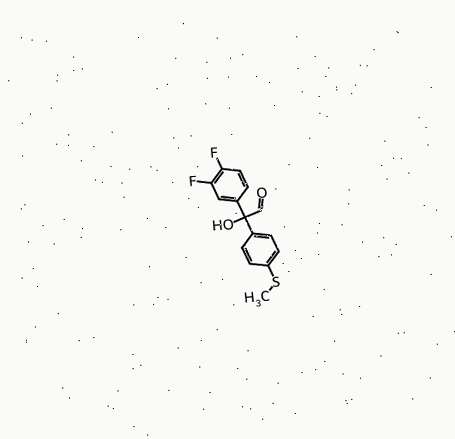 CSc1ccc(C(O)(C=O)c2ccc(F)c(F)c2)cc1